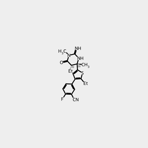 CCc1sc([C@@]2(C)NC(=N)N(C)C(=O)[C@H]2CC)cc1-c1ccc(F)c(C#N)c1